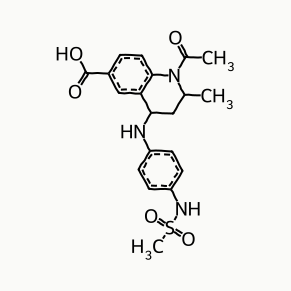 CC(=O)N1c2ccc(C(=O)O)cc2C(Nc2ccc(NS(C)(=O)=O)cc2)CC1C